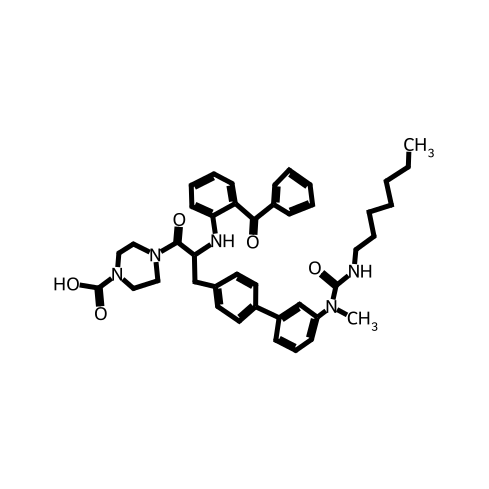 CCCCCCCNC(=O)N(C)c1cccc(-c2ccc(CC(Nc3ccccc3C(=O)c3ccccc3)C(=O)N3CCN(C(=O)O)CC3)cc2)c1